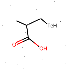 CC(C[TeH])C(=O)O